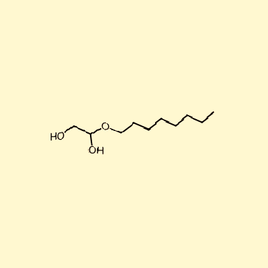 CCCCCCCCOC(O)CO